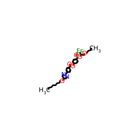 CCCCCCCCOc1cnc(-c2ccc(C(=O)Oc3ccc(C(=O)OC(COCCCC)C(F)(F)F)cc3)cc2)nc1